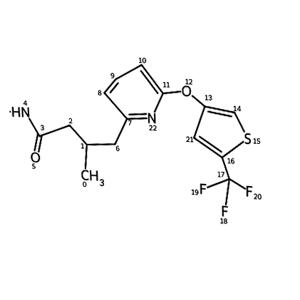 CC(CC([NH])=O)Cc1cccc(Oc2csc(C(F)(F)F)c2)n1